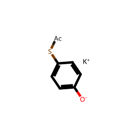 CC(=O)Sc1ccc([O-])cc1.[K+]